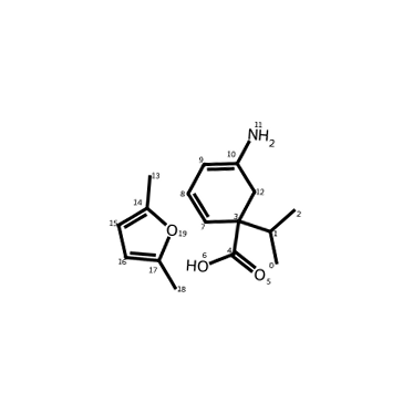 CC(C)C1(C(=O)O)C=CC=C(N)C1.Cc1ccc(C)o1